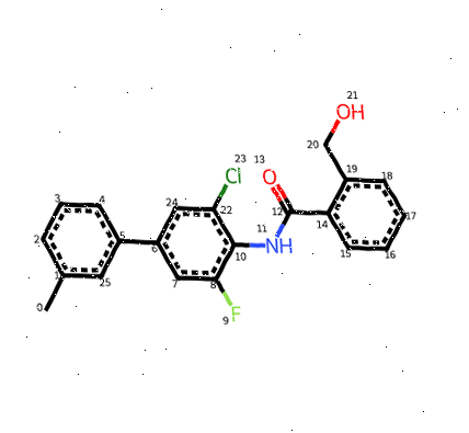 Cc1cccc(-c2cc(F)c(NC(=O)c3ccccc3CO)c(Cl)c2)c1